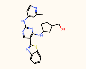 Cc1cc(Nc2ncc(-c3nc4ccccc4s3)c(NC3CCC(CO)C3)n2)ccn1